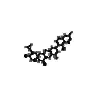 Cc1cnc2c(Cl)c(-c3cc(F)c(CN4CCC5(CC4=O)CN(C4CC4)C(=O)CO5)c(F)c3)ccc2c1